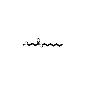 CCCCCCCOC(=O)CCCOC